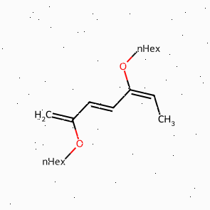 C=C(/C=C/C(=C\C)OCCCCCC)OCCCCCC